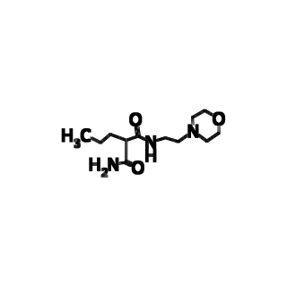 CCCC(C(N)=O)C(=O)NCCN1CCOCC1